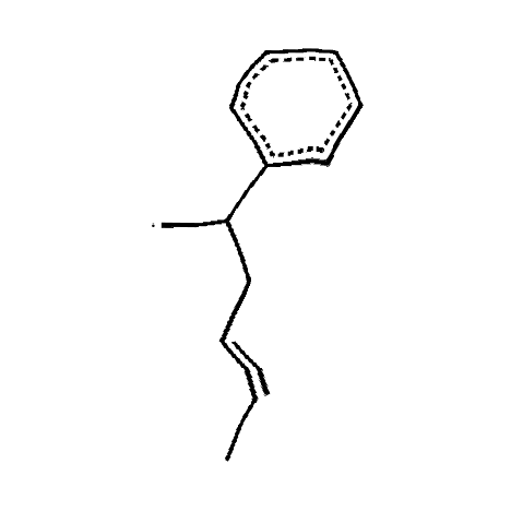 [CH2]C(CC=CC)c1ccccc1